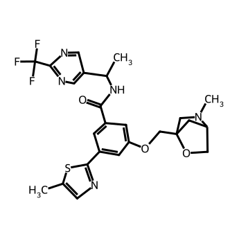 Cc1cnc(-c2cc(OCC34CC(CO3)N(C)C4)cc(C(=O)NC(C)c3cnc(C(F)(F)F)nc3)c2)s1